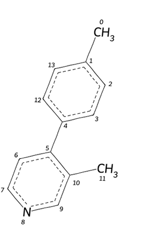 Cc1ccc(-c2ccncc2C)cc1